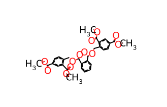 COC(=O)c1ccc(COC(=O)c2ccccc2C(=O)OCc2ccc(C(=O)OC)cc2C(=O)OC)c(C(=O)OC)c1